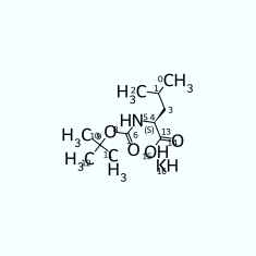 CC(C)C[C@H](NC(=O)OC(C)(C)C)C(=O)O.[KH]